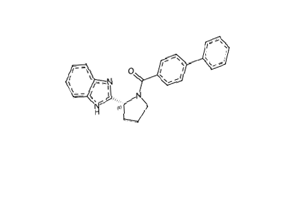 O=C(c1ccc(-c2ccccc2)cc1)N1CCC[C@@H]1c1nc2ccccc2[nH]1